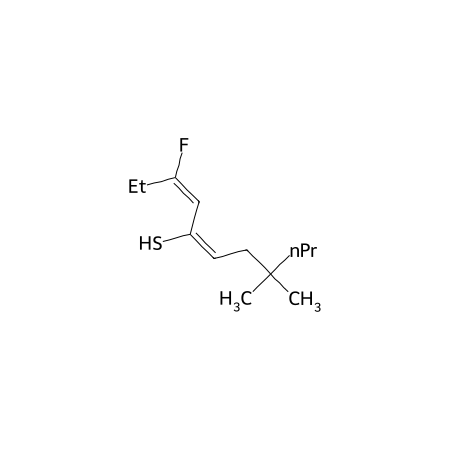 CCCC(C)(C)C/C=C(S)\C=C(\F)CC